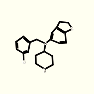 Clc1cccc(CN(c2ccc3c(c2)CCS3)C2CCNCC2)c1